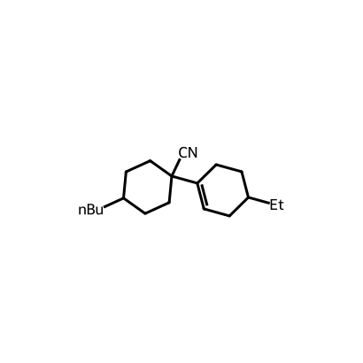 CCCCC1CCC(C#N)(C2=CCC(CC)CC2)CC1